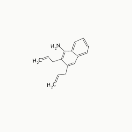 C=CCc1cc2ccccc2c(N)c1CC=C